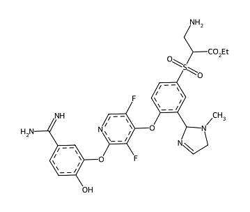 CCOC(=O)C(CN)S(=O)(=O)c1ccc(Oc2c(F)cnc(Oc3cc(C(=N)N)ccc3O)c2F)c(C2N=CCN2C)c1